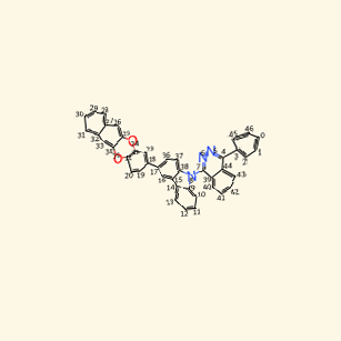 c1ccc(-c2nnc(-n3c4ccccc4c4cc(-c5ccc6c(c5)Oc5cc7ccccc7cc5O6)ccc43)c3ccccc23)cc1